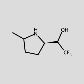 CC1CC[C@H](C(O)C(F)(F)F)N1